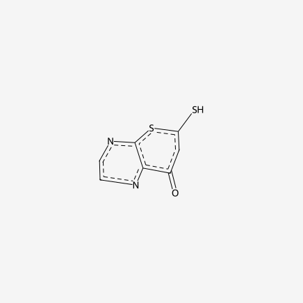 O=c1cc(S)sc2nccnc12